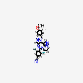 COc1ccc(Cn2ncc3c2-c2cnn4c2N(CCC4)C(c2c(F)cc(C#N)cc2F)=N3)cc1